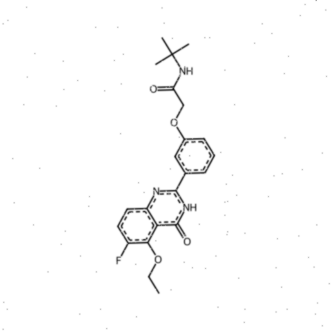 CCOc1c(F)ccc2nc(-c3cccc(OCC(=O)NC(C)(C)C)c3)[nH]c(=O)c12